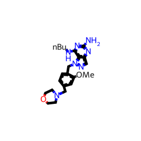 CCCCNc1nc(N)nc2cnn(Cc3ccc(CN4CCOCC4)cc3OC)c12